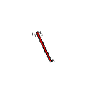 C=C(C)C(=O)OCCOC(=O)CCCCCOC(=O)CCCCCOC(=O)CCCCCOC(=O)CCCCCOC(=O)CCCCCOC(=O)CCCCCOC(=O)CCCCCOC(=O)CCCCCOC(=O)CCCCCOC(=O)CCCCCO